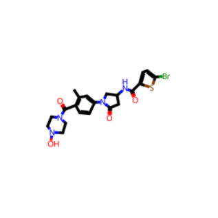 Cc1cc(N2CC(NC(=O)c3ccc(Br)s3)CC2=O)ccc1C(=O)N1CCN(O)CC1